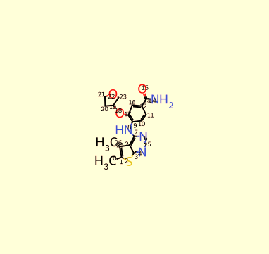 Cc1sc2ncnc(Nc3ccc(C(N)=O)cc3OC3CCOC3)c2c1C